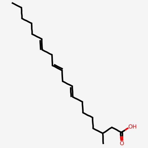 CCCCC/C=C/C/C=C/C/C=C/CCCCC(C)CC(=O)O